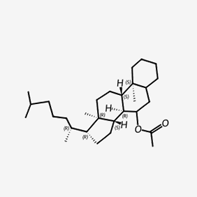 CC(=O)OC1CC2CCCC[C@]2(C)[C@H]2CC[C@]3(C)[C@@H]([C@H](C)CCCC(C)C)CC[C@H]3[C@H]12